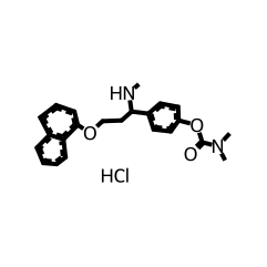 CNC(CCOc1cccc2ccccc12)c1ccc(OC(=O)N(C)C)cc1.Cl